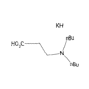 CCCCN(CCCC)CCC(=O)O.[KH]